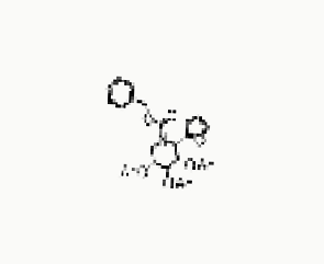 CC(=O)O[C@@H]1[C@@H](OC(C)=O)[C@H](OC(C)=O)CN(C(=O)OCc2ccccc2)[C@@H]1c1ccco1